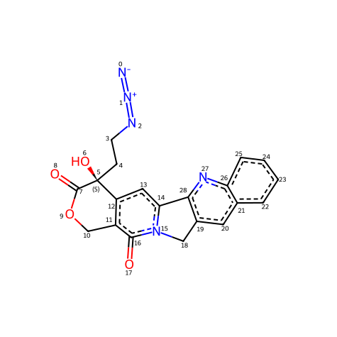 [N-]=[N+]=NCC[C@@]1(O)C(=O)OCc2c1cc1n(c2=O)Cc2cc3ccccc3nc2-1